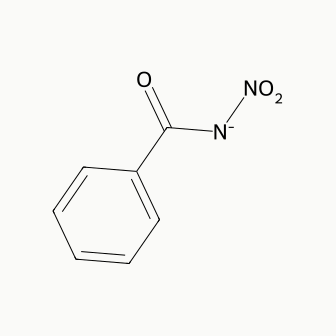 O=C([N-][N+](=O)[O-])c1ccccc1